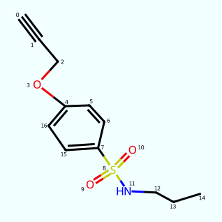 C#CCOc1ccc(S(=O)(=O)NCCC)cc1